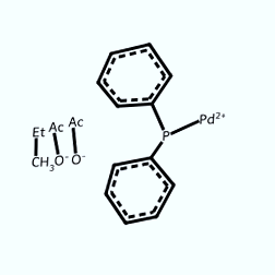 CC(=O)[O-].CC(=O)[O-].CCC.[Pd+2][P](c1ccccc1)c1ccccc1